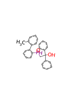 Cc1ccccc1-c1ccccc1[PH](=O)CC(O)(c1ccccc1)c1ccccc1